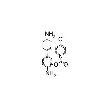 Nc1ccc(C2=CCC(N)C=C2)cc1.O=C(O)n1ccc(=O)cc1